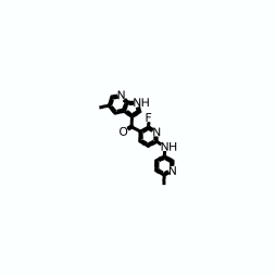 Cc1cnc2[nH]cc(C(=O)c3ccc(Nc4ccc(C)nc4)nc3F)c2c1